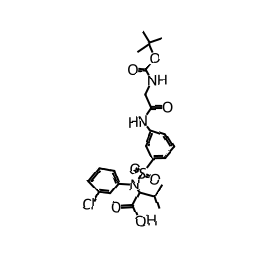 CC(C)C(C(=O)O)N(c1cccc(Cl)c1)S(=O)(=O)c1cccc(NC(=O)CNC(=O)OC(C)(C)C)c1